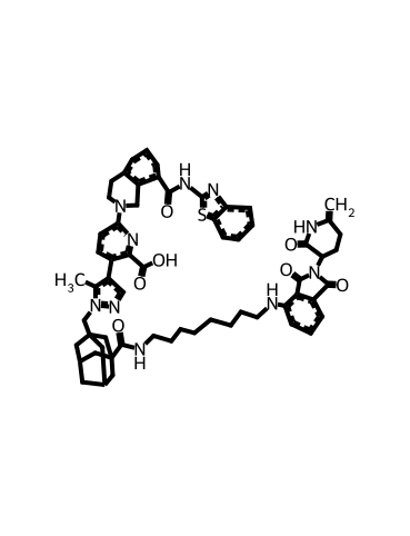 C=C1CCC(N2C(=O)c3cccc(NCCCCCCCCNC(=O)C45CC6CC(CC(Cn7ncc(-c8ccc(N9CCc%10cccc(C(=O)Nc%11nc%12ccccc%12s%11)c%10C9)nc8C(=O)O)c7C)(C6)C4)C5)c3C2=O)C(=O)N1